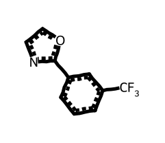 FC(F)(F)c1cccc(-c2ncco2)c1